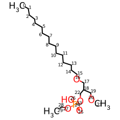 CCCCCCCCCCCCCCCCOCC(COC)COP(=O)(O)OCC